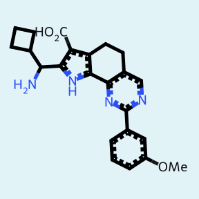 COc1cccc(-c2ncc3c(n2)-c2[nH]c(C(N)C4CCC4)c(C(=O)O)c2CC3)c1